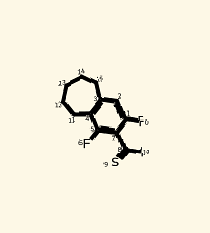 Fc1cc2c(c(F)c1C(=S)I)CCCCC2